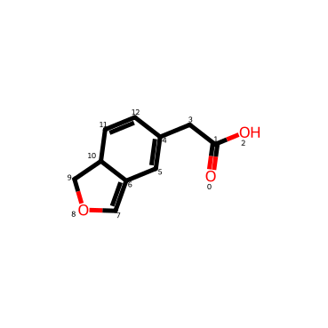 O=C(O)CC1=CC2=COCC2C=C1